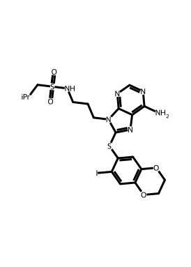 CC(C)CS(=O)(=O)NCCCn1c(Sc2cc3c(cc2I)OCCO3)nc2c(N)ncnc21